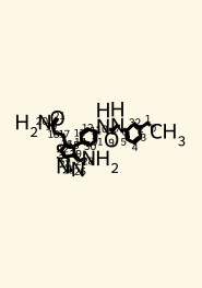 CCc1cccc(NC(=O)Nc2ccc(-c3c(CCC(N)=O)sc4ncnc(N)c34)cc2)c1